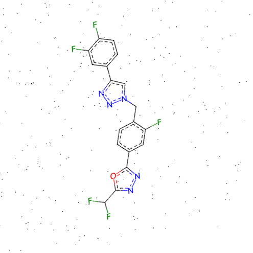 Fc1ccc(-c2cn(Cc3ccc(-c4nnc(C(F)F)o4)cc3F)nn2)cc1F